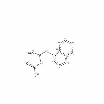 CC(C)(C)C(=O)CC(Cc1cccc2ccccc12)C(=O)O